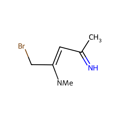 CN/C(=C\C(C)=N)CBr